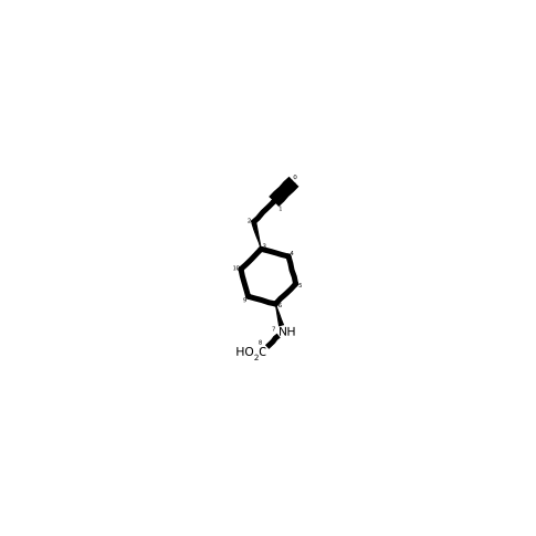 C#CC[C@H]1CC[C@@H](NC(=O)O)CC1